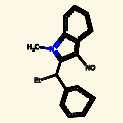 CCC(c1ccccc1)c1c(N=O)c2ccccc2n1C